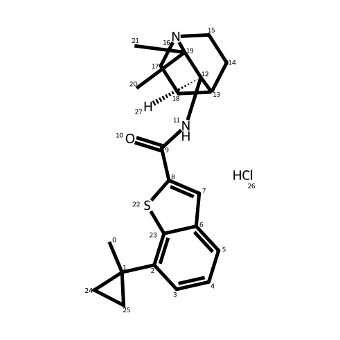 CC1(c2cccc3cc(C(=O)N[C@@H]4C5CCN(CC5)C4(C)C)sc23)CC1.Cl